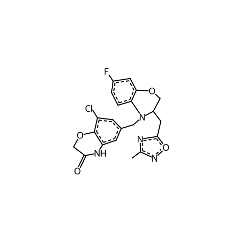 Cc1noc(CC2COc3cc(F)ccc3N2Cc2cc(Cl)c3c(c2)NC(=O)CO3)n1